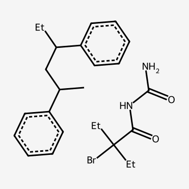 CCC(Br)(CC)C(=O)NC(N)=O.CCC(CC(C)c1ccccc1)c1ccccc1